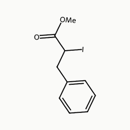 COC(=O)C(I)Cc1ccccc1